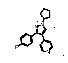 Fc1ccc(-c2nn(C3CCCC3)cc2-c2ccncc2)cc1